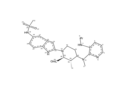 CC(C)Nc1cccnc1N(C)C1CCN(c2cc3cc(NS(C)(=O)=O)ccc3[nH]2)[C@H](C=O)[C@H]1C